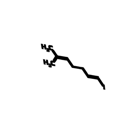 CC(C)=CCCC=CI